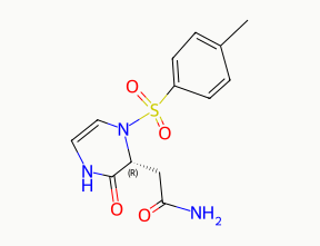 Cc1ccc(S(=O)(=O)N2C=CNC(=O)[C@H]2CC(N)=O)cc1